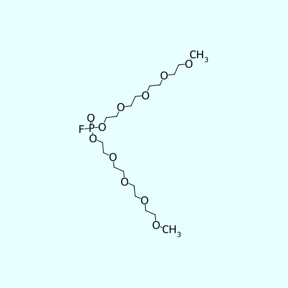 COCCOCCOCCOCCOP(=O)(F)OCCOCCOCCOCCOC